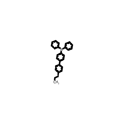 CCCc1ccc(-c2ccc(N(c3ccccc3)c3ccccc3)cc2)cc1